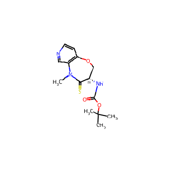 CN1C(=S)[C@@H](NC(=O)OC(C)(C)C)COc2ccncc21